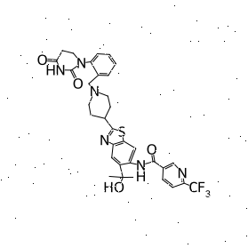 CC(C)(O)c1cc2nc(C3CCN(Cc4ccccc4N4CCC(=O)NC4=O)CC3)sc2cc1NC(=O)c1ccc(C(F)(F)F)nc1